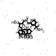 CCCCC1CC(C23C[C@@H]4[C@H](C)CC[C@H]4C4(C=O)CC2C=C(C(C)C)C34C(=O)O)OC1CN(C)Cc1cc(C(C)(C)N)ccn1